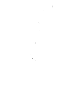 NC(=O)CNC(=O)CNC(=O)[C@@H](N)Cc1ccc2ccccc2c1